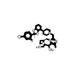 Cc1nc(CN2CCC(c3cccc4c3O[C@@](C)(c3ccc(Cl)cc3F)O4)CC2)n(C[C@@H]2CCO2)c1C(O)CCO